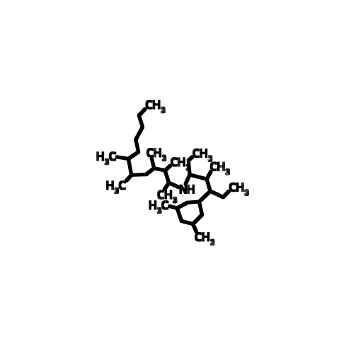 CCCCCC(C)C(C)CC(C)C(C)C(C)NC(CC)C(C)C(CC)C1CC(C)CC(C)C1